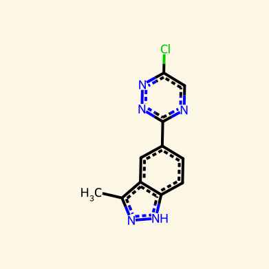 Cc1n[nH]c2ccc(-c3ncc(Cl)nn3)cc12